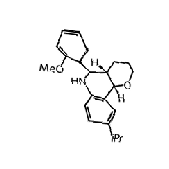 COC1=CC=CCC1[C@@H]1Nc2ccc(C(C)C)cc2[C@H]2OCCC[C@H]21